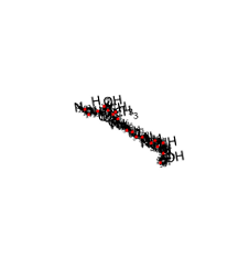 CC(C)C(C(=O)N1C[C@H](O)C[C@H]1C(=O)NCc1ccc(C#N)cc1)c1cc(N2CC3(CC(N4CCC(c5cnc(N6CCN7c8cc(-c9ccccc9O)nnc8NC[C@H]7C6)nc5)CC4)C3)C2)no1